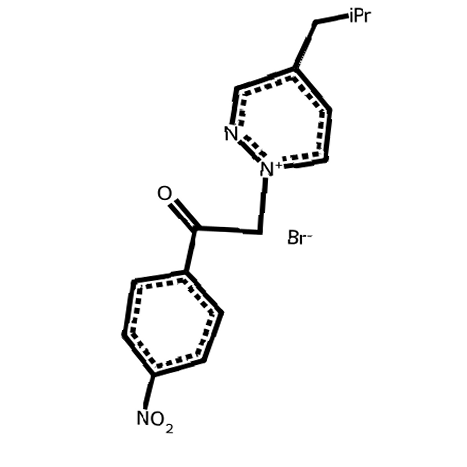 CC(C)Cc1cc[n+](CC(=O)c2ccc([N+](=O)[O-])cc2)nc1.[Br-]